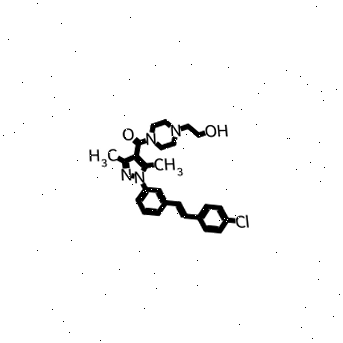 Cc1nn(-c2cccc(/C=C/c3ccc(Cl)cc3)c2)c(C)c1C(=O)N1CCN(CCO)CC1